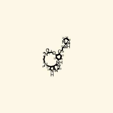 CN1CCCN(C)C(=O)COc2cc(ccc2OCCNc2ncccn2)Nc2ncnc3c2C(CN3)C1